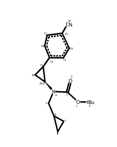 CC(C)(C)OC(=O)N(CC1CC1)[C@H]1CC1c1ccc(C#N)cc1